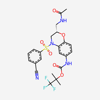 CC(=O)NC[C@H]1CN(S(=O)(=O)c2cccc(C#N)c2)c2cc(NC(=O)OC(C)(C)C(F)(F)F)ccc2O1